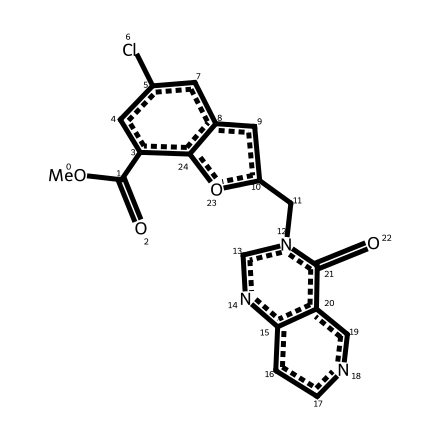 COC(=O)c1cc(Cl)cc2cc(Cn3cnc4ccncc4c3=O)oc12